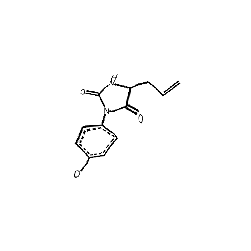 C=CCC1NC(=O)N(c2ccc(Cl)cc2)C1=O